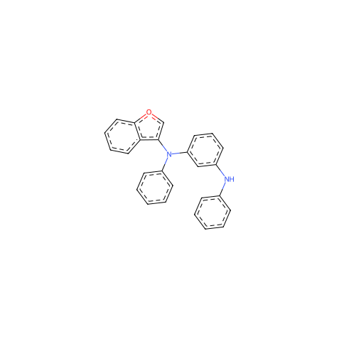 c1ccc(Nc2cccc(N(c3ccccc3)c3coc4ccccc34)c2)cc1